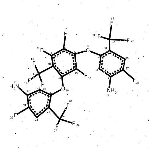 Nc1cc(Oc2c(F)c(F)c(C(F)(F)F)c(Oc3cc(N)c(F)cc3C(F)(F)F)c2F)c(C(F)(F)F)cc1F